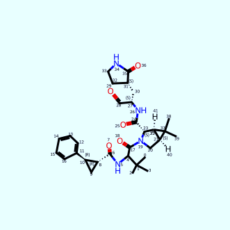 CC(C)(C)C(NC(=O)[C@@H]1C[C@H]1c1ccccc1)C(=O)N1C[C@H]2[C@@H]([C@H]1C(=O)N[C@H](C=O)C[C@@H]1CCNC1=O)C2(C)C